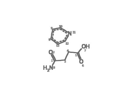 NC(=O)CCC(=O)O.c1ccncc1